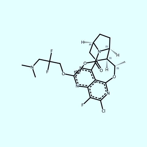 C[C@@H]1Oc2nc(Cl)c(F)c3nc(OCC(F)(F)CN(C)C)nc(c23)N2C[C@H]3CC[C@@H]([C@@H]12)N3C(=O)OC(C)(C)C